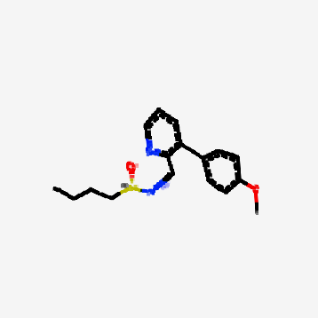 CCCC[S@+]([O-])/N=C\c1ncccc1-c1ccc(OC)cc1